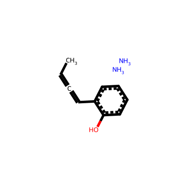 CC=C=Cc1ccccc1O.N.N